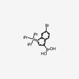 CC(C)[Si](C(C)C)(C(C)C)n1cc(B(O)O)c2ccc(Br)cc21